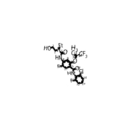 CCN(CCO)C(=O)Nc1cc(O[C@@H](C)C(F)(F)F)c(C(=O)Nc2c(F)cccc2Cl)cc1F